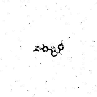 Cc1cn(-c2ccc(-c3onc4c3CCCN4[C@@H](C)c3ccc(F)cc3)cc2C)cn1